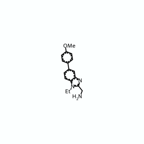 CCn1c(CN)nc2cc(-c3ccc(OC)cc3)ccc21